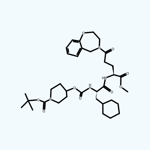 COC(=O)[C@H](CCC(=O)N1CCOc2ccccc2C1)NC(=O)[C@H](CC1CCCCC1)NC(=O)OC1CCN(C(=O)OC(C)(C)C)CC1